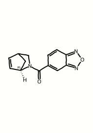 O=C(c1ccc2nonc2c1)N1CC2C=C[C@H]1C2